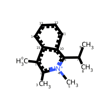 Cc1c(C)[n+](C)c(C(C)C)c2ccccc12